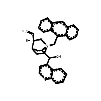 C=C[C@H]1C[N+]2(Cc3c4ccccc4cc4ccccc34)CCC1CC2C(O)c1ccnc2ccccc12